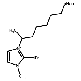 CCCCCCCCCCCCCCC(C)[n+]1ccn(C)c1C(C)C